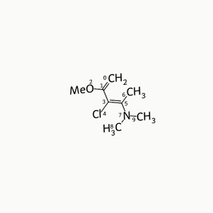 C=C(OC)/C(Cl)=C(\C)N(C)C